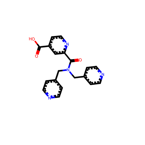 O=C(O)c1ccnc(C(=O)N(Cc2ccncc2)Cc2ccncc2)c1